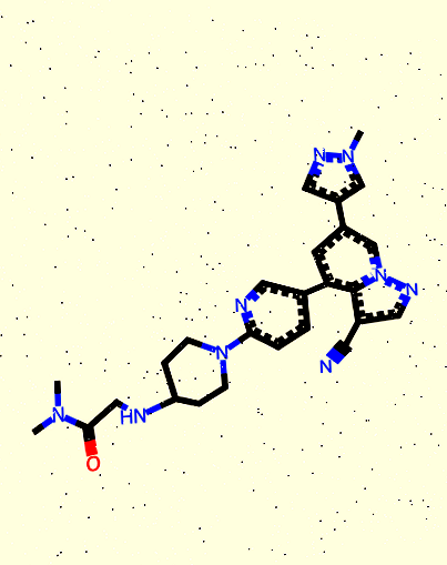 CN(C)C(=O)CNC1CCN(c2ccc(-c3cc(-c4cnn(C)c4)cn4ncc(C#N)c34)cn2)CC1